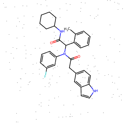 Cc1ccccc1C(C(=O)NC1CCCCC1)N(C(=O)Cc1ccc2[nH]ccc2c1)c1cccc(F)c1